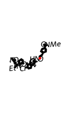 CCc1nc2c(OCc3c(Cl)ccc(N(C)C(=O)CNC(=O)C=Cc4ccc(C(=O)NC)cc4)c3Cl)cccc2n1CC(=O)N(C)C